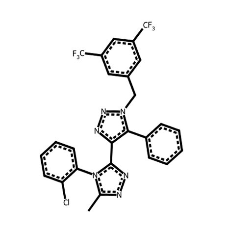 Cc1nnc(-c2nnn(Cc3cc(C(F)(F)F)cc(C(F)(F)F)c3)c2-c2ccccc2)n1-c1ccccc1Cl